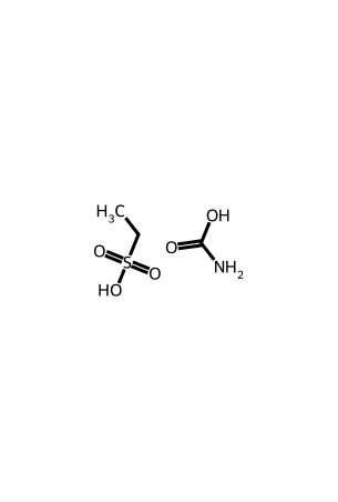 CCS(=O)(=O)O.NC(=O)O